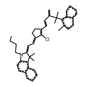 C=C(/C=C/C1=C(Cl)C(=C/C=C2/N(CCCC)c3ccc4ccccc4c3C2(C)C)/CC1)C(C)(C)c1c(C)ccc2ccccc12